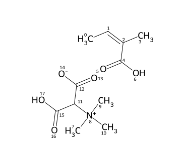 CC=C(C)C(=O)O.C[N+](C)(C)C(C(=O)[O-])C(=O)O